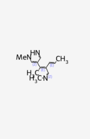 C/C=C/C(/C=N\C)=C(C)\C(C=N)=C\NC